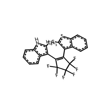 Cc1[nH]c2ccccc2c1C1=C(c2c(C)sc3ccccc23)C(F)(F)C(F)(F)C1(F)F